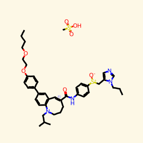 CCCCOCCOc1ccc(-c2ccc3c(c2)/C=C(/C(=O)Nc2ccc([S+]([O-])Cc4cncn4CCC)cc2)CCCN3CC(C)C)cc1.CS(=O)(=O)O